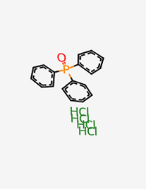 Cl.Cl.Cl.Cl.O=P(c1ccccc1)(c1ccccc1)c1ccccc1